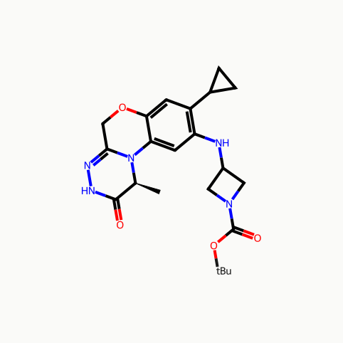 C[C@H]1C(=O)NN=C2COc3cc(C4CC4)c(NC4CN(C(=O)OC(C)(C)C)C4)cc3N21